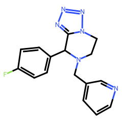 Fc1ccc(C2c3nnnn3CCN2Cc2cccnc2)cc1